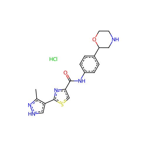 Cc1n[nH]cc1-c1nc(C(=O)Nc2ccc(C3CNCCO3)cc2)cs1.Cl